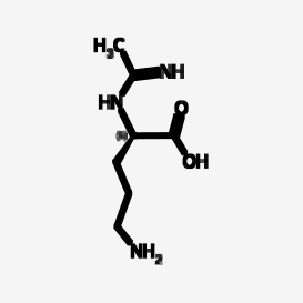 CC(=N)N[C@H](CCCN)C(=O)O